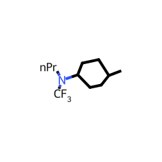 CCCN(C1CCC(C)CC1)C(F)(F)F